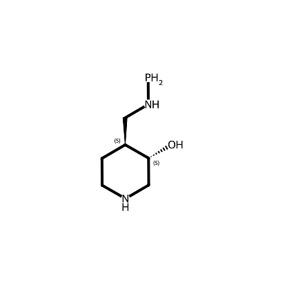 O[C@@H]1CNCC[C@H]1CNP